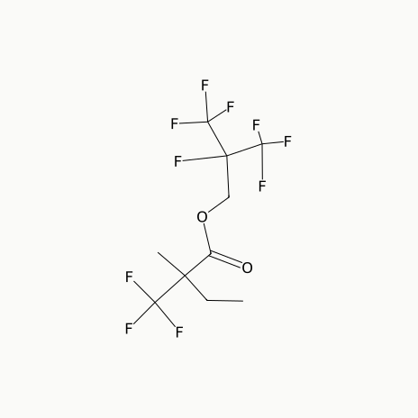 CCC(C)(C(=O)OCC(F)(C(F)(F)F)C(F)(F)F)C(F)(F)F